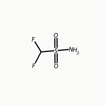 NS(=O)(=O)[C](F)F